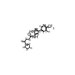 Cc1cc(-c2cc(NC(=O)CCC(C)N3CCCC3)[nH]n2)cnc1C(F)(F)F